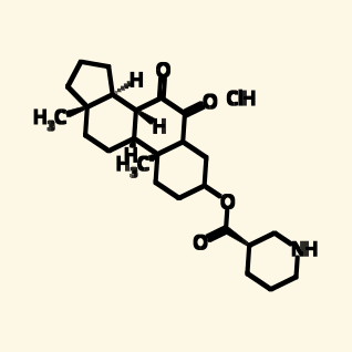 C[C@@]12CCC[C@H]1[C@@H]1C(=O)C(=O)C3CC(OC(=O)[C@@H]4CCCNC4)CC[C@]3(C)[C@@H]1CC2.Cl